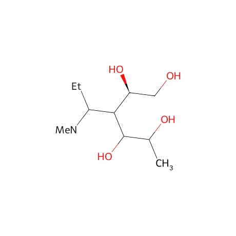 CCC(NC)C(C(O)C(C)O)[C@@H](O)CO